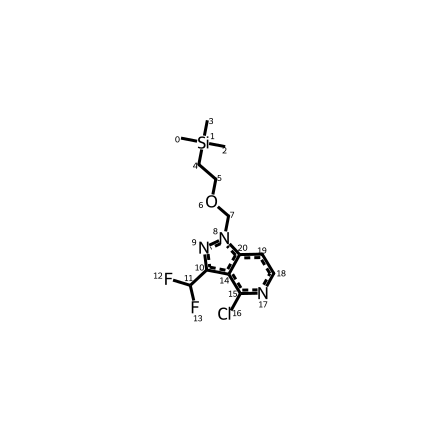 C[Si](C)(C)CCOCn1nc(C(F)F)c2c(Cl)nccc21